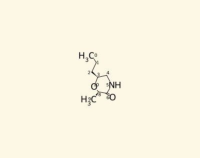 CCC[C@H]1CNC(=O)[C@@H](C)O1